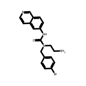 NCCN(Cc1ccc(Br)cc1)C(=O)Nc1ccc2cnccc2c1